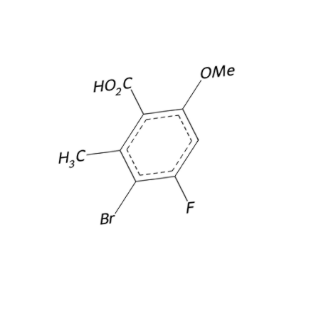 COc1cc(F)c(Br)c(C)c1C(=O)O